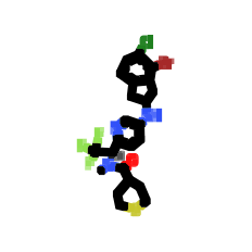 CN(C(=O)C1CCSCC1)[C@@H](c1ccc(NC2Cc3ccc(Cl)c(Br)c3C2)cn1)C(F)(F)F